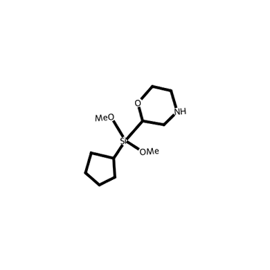 CO[Si](OC)(C1CCCC1)C1CNCCO1